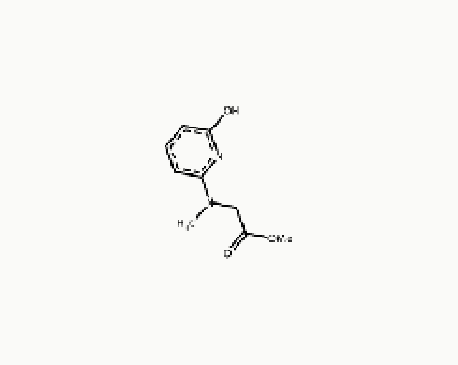 COC(=O)CN(C)c1cccc(O)n1